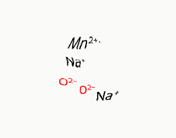 [Mn+2].[Na+].[Na+].[O-2].[O-2]